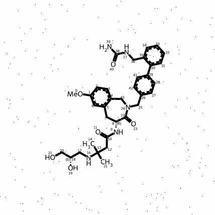 COc1ccc2c(c1)C[C@@H](NC(=O)CC(C)(C)NC[C@H](O)CO)C(=O)N(Cc1ccc(-c3ccccc3CNC(N)=O)cc1)C2